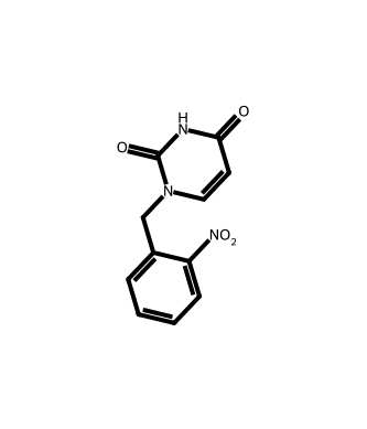 O=c1ccn(Cc2ccccc2[N+](=O)[O-])c(=O)[nH]1